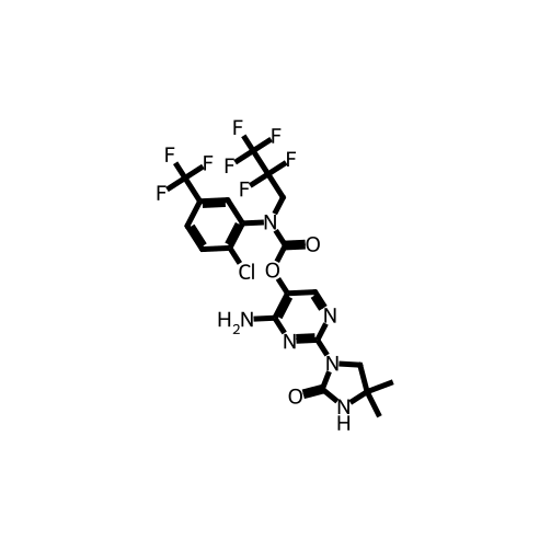 CC1(C)CN(c2ncc(OC(=O)N(CC(F)(F)C(F)(F)F)c3cc(C(F)(F)F)ccc3Cl)c(N)n2)C(=O)N1